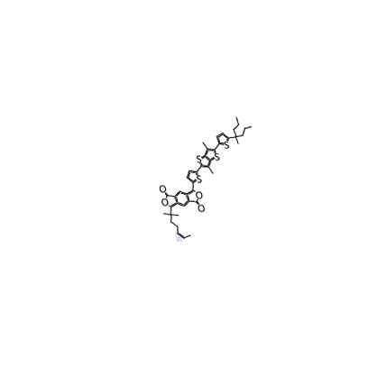 C/C=C\CCC(C)(C)C1=c2cc3c(cc2C(=O)O1)=C(c1ccc(-c2sc4c(C)c(-c5ccc(C(C)(CCC)CCC)s5)sc4c2C)s1)OC3=O